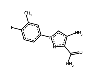 Cc1cc(-n2cc(N)c(C(N)=O)n2)ccc1I